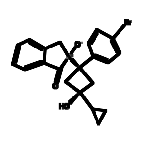 O=C1c2ccccc2C[N+]1([O-])[C@]1(c2ccc(Br)cc2)C[C@@](O)(C2CC2)C1